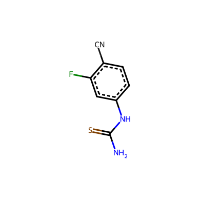 N#Cc1ccc(NC(N)=S)cc1F